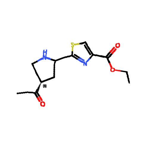 CCOC(=O)c1csc(C2C[C@H](C(C)=O)CN2)n1